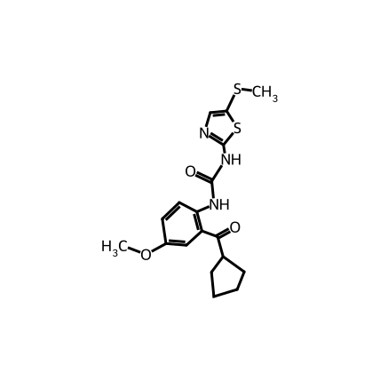 COc1ccc(NC(=O)Nc2ncc(SC)s2)c(C(=O)C2CCCC2)c1